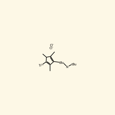 CC(C)(C)[N-]C(C)(C)C.CC1=C(C)C(C)[C]([Ti+3])=C1C.[Cl-].[Cl-]